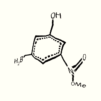 Bc1cc(O)cc([N+](=O)OC)c1